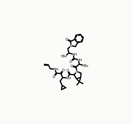 C=CCNC(=O)C(=O)C(CC1CC1)NC(=O)C1C2C(CN1C(=O)C(NC(=O)NC(CN1Cc3ccccc3C1=O)C(C)(C)C)C(C)(C)C)C2(C)C